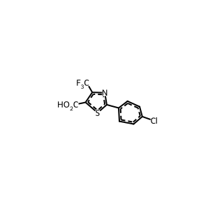 O=C(O)c1sc(-c2ccc(Cl)cc2)nc1C(F)(F)F